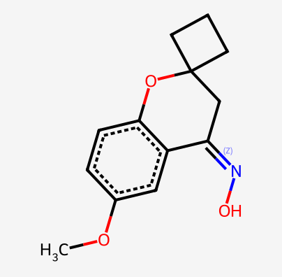 COc1ccc2c(c1)/C(=N\O)CC1(CCC1)O2